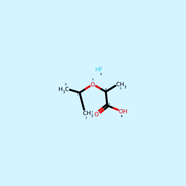 CC(C)OC(C)C(=O)O.F